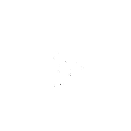 CCNc1nc(Cl)nc(NC(C)C)n1.[NaH]